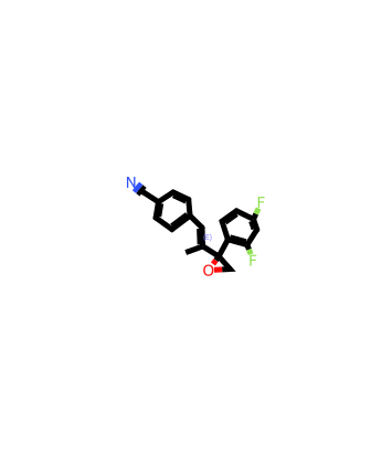 C/C(=C\c1ccc(C#N)cc1)C1(c2ccc(F)cc2F)CO1